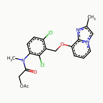 CC(=O)OCC(=O)N(C)c1ccc(Cl)c(COc2cccn3cc(C)nc23)c1Cl